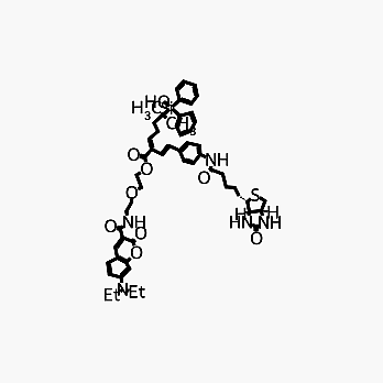 CCN(CC)c1ccc2cc(C(=O)NCCOCCOC(=O)C(/C=C/c3ccc(NC(=O)CCCC[C@@H]4SC[C@@H]5NC(=O)N[C@@H]54)cc3)=C/CCC(C)(C)[Si](O)(c3ccccc3)c3ccccc3)c(=O)oc2c1